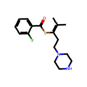 CC(C)=C(CCN1CCNCC1)SC(=O)c1ccccc1F